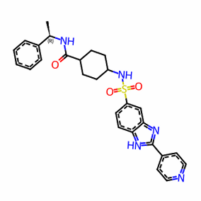 C[C@@H](NC(=O)C1CCC(NS(=O)(=O)c2ccc3[nH]c(-c4ccncc4)nc3c2)CC1)c1ccccc1